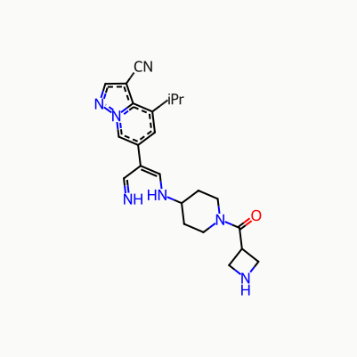 CC(C)c1cc(/C(C=N)=C/NC2CCN(C(=O)C3CNC3)CC2)cn2ncc(C#N)c12